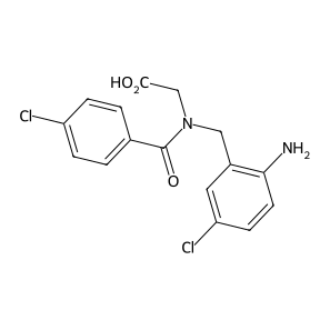 Nc1ccc(Cl)cc1CN(CC(=O)O)C(=O)c1ccc(Cl)cc1